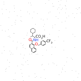 CC(C1CCCCC1)C(NC(=O)c1ccc2ccccc2c1OCc1ccc(C(F)(F)F)cc1)C(=O)O